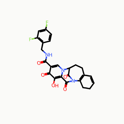 O=C(NCc1ccc(F)cc1F)c1cn2c(c(O)c1=O)C(=O)N1C(=O)C2CCC2=C1CCC=C2